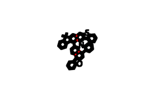 CC1(C)c2ccccc2-c2c(-c3ccccc3N(c3ccccc3-c3ccc4c(c3)oc3ccccc34)c3cccc4sc5ccccc5c34)cccc21